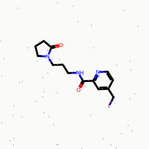 O=C(NCCCN1CCCC1=O)c1cc(CI)ccn1